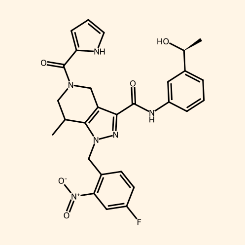 CC1CN(C(=O)c2ccc[nH]2)Cc2c(C(=O)Nc3cccc([C@H](C)O)c3)nn(Cc3ccc(F)cc3[N+](=O)[O-])c21